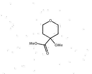 COC(=O)C1(OC)CCOCC1